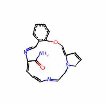 NC(=O)C1=C\C=C/N=C/CN2CC=C/C2=C/Oc2ccccc2\C=N\1